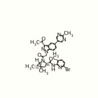 CC(=O)c1nn(CC(=O)N2[C@@H](C(=O)Nc3nc(Br)ccc3C)C[C@]3(C)[C@H](C)[C@H]23)c2ccc(-c3cnc(C)nc3)cc12